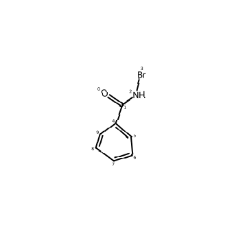 O=C(NBr)c1ccccc1